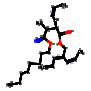 C=C/C=C(\C=C/C)COC(=O)C(C/C=C\C)[C@H](C)C(=N)OCCCCCCCC